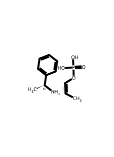 C/C=C\OP(=O)(O)O.C[C@@H](N)c1ccccc1